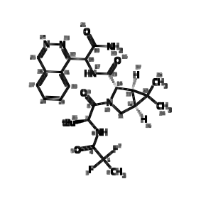 CC(F)(F)C(=O)N[C@H](C(=O)N1C[C@H]2[C@@H]([C@H]1C(=O)NC(C(N)=O)c1nncc3ccccc13)C2(C)C)C(C)(C)C